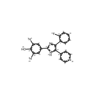 [3H]c1cc(-c2nc(-c3ccccc3F)c(-c3ccncc3)[nH]2)cc([3H])c1O